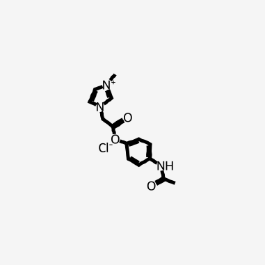 CC(=O)Nc1ccc(OC(=O)Cn2cc[n+](C)c2)cc1.[Cl-]